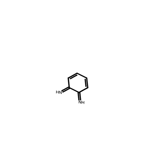 N=C1C=CC=CC1=N